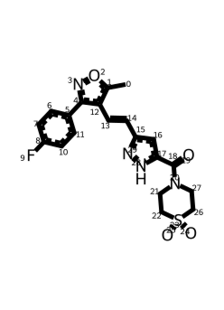 Cc1onc(-c2ccc(F)cc2)c1/C=C/c1cc(C(=O)N2CCS(=O)(=O)CC2)[nH]n1